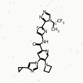 C[C@H](n1cnnc1-c1nc(NC(=O)c2cc(-n3cnc(C4CC4)c3)c(N3CCC3)cn2)cs1)C(F)(F)F